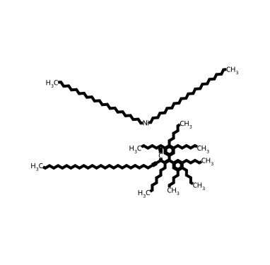 CCCCCCCCCCCCCCCCCCCCCCCCCCC#CC(=C=[N+]=[N-])C(CCCCCCCC)=C(c1cc(CCCCC)c(CCCCC)c(CCCCC)c1)c1cc(CCCCCC)c(CCCCCC)c(CCCCCC)c1.CCCCCCCCCCCCCCCCCCCCCC[CH2][Ni][CH2]CCCCCCCCCCCCCCCCCCCCCC